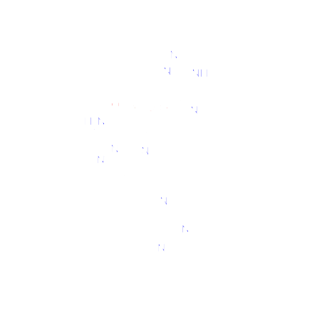 CCCN(C(=O)c1nnc[nH]1)[C@H](CC)CCc1nc2c(-c3ccc(-c4ncccn4)nc3)cnn2c(N)c1S(C)(=O)=O